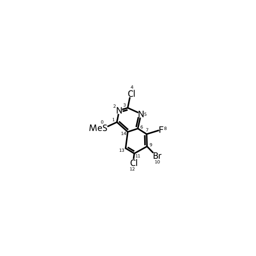 CSc1nc(Cl)nc2c(F)c(Br)c(Cl)cc12